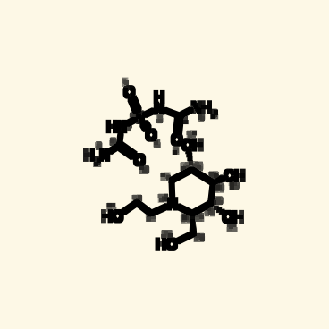 NC(=O)NS(=O)(=O)NC(N)=O.OCCN1C[C@H](O)[C@@H](O)[C@H](O)[C@H]1CO